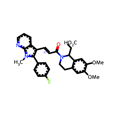 COc1cc2c(cc1OC)C(CC(=O)O)N(C(=O)/C=C/c1c(-c3ccc(F)cc3)n(C)c3ncccc13)CC2